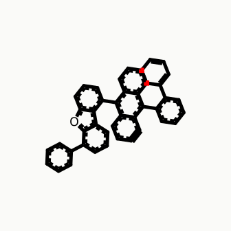 c1ccc2c(-c3cccc4oc5c(-c6ccccc6)cccc5c34)c3ccccc3c(-c3ccccc3C3=CC=CCC3)c2c#1